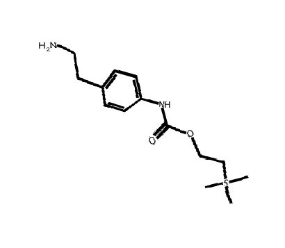 CS(C)(C)CCOC(=O)Nc1ccc(CCN)cc1